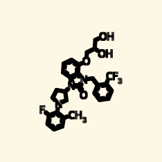 Cc1cccc(F)c1N1CCC(n2c(=O)n(Cc3ccccc3C(F)(F)F)c3c(OCC(O)CO)cccc32)C1